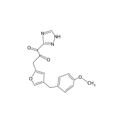 COc1ccc(Cc2coc(CC(=O)C(=O)c3nc[nH]n3)c2)cc1